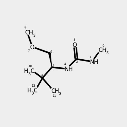 CNC(=O)N[C@H](COC)C(C)(C)C